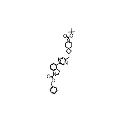 CC(C)(C)OC(=O)N1CCC2(CC1)CC(Cc1cnc(-c3cccc4c3CCN4C(=O)OCc3ccccc3)cn1)C2